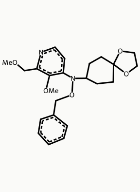 COCc1nccc(N(OCc2ccccc2)C2CCC3(CC2)OCCO3)c1OC